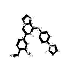 N=Cc1ccc(-c2cn3ccnc3c(Nc3ccc(-n4cccn4)cc3)n2)cc1N